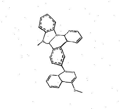 CSC1=CC=C(c2ccc3c(c2)C2C=CC=CC2N2c4ccccc4N(C)C32)C2C=CC=CC12